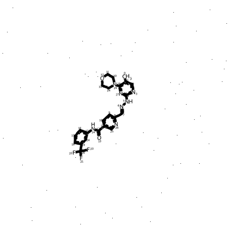 Cc1cnc(N/N=C/c2ccc(C(=O)Nc3cccc(C(F)(F)F)c3)cn2)nc1N1CCOCC1